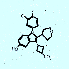 O=C(O)[C@H]1C[C@H](c2c(C3CCOCC3)n(-c3ccc(F)c(Cl)c3)c3ccc(O)cc32)C1